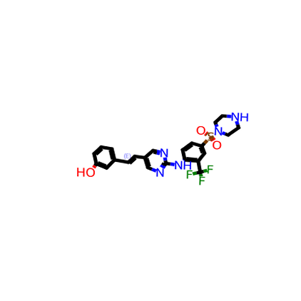 O=S(=O)(c1ccc(Nc2ncc(/C=C/c3cccc(O)c3)cn2)c(C(F)(F)F)c1)N1CCNCC1